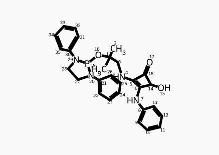 CC(C)(CNC1=C(Nc2ccccc2)C(O)C1=O)OP1N(c2ccccc2)CCN1c1ccccc1